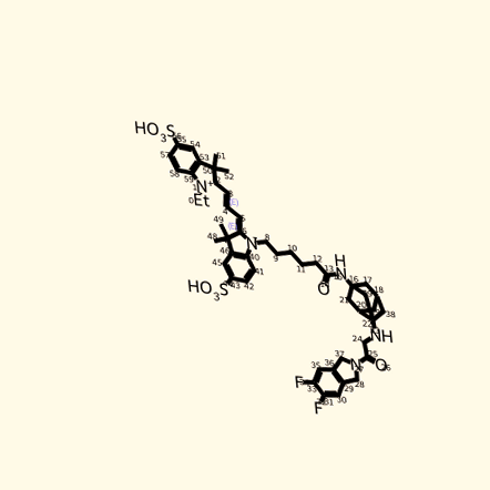 CC[N+]1=C(/C=C/C=C2/N(CCCCCC(=O)NC34CC5CC(C3)C(NCC(=O)N3Cc6cc(F)c(F)cc6C3)(C5)C4)c3ccc(S(=O)(=O)O)cc3C2(C)C)C(C)(C)c2cc(S(=O)(=O)O)ccc21